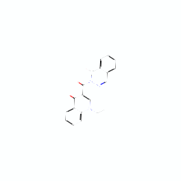 CCn1cc(C(=O)N2N=Cc3ccccc3B2O)c(=O)c2ccccc21